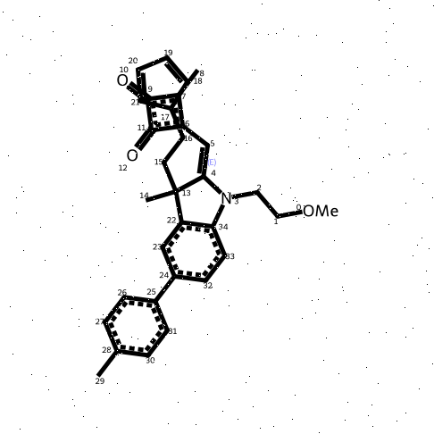 COCCN1/C(=C/c2c(C)c(=O)c2=O)C(C)(CCC2C=CC=C2)c2cc(-c3ccc(C)cc3)ccc21